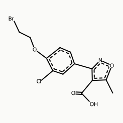 Cc1onc(-c2ccc(OCCBr)c(Cl)c2)c1C(=O)O